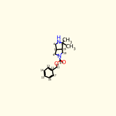 CC1(C)NCC2CN(C(=O)OCc3ccccc3)CC21